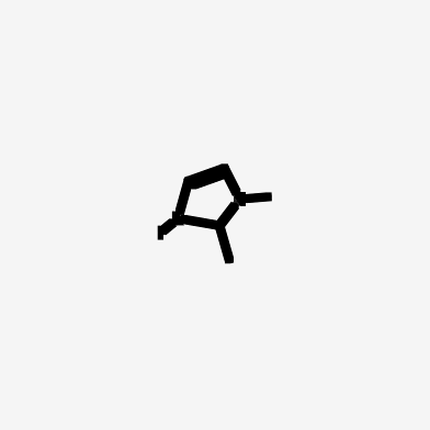 CC1N(C)C=CN1I